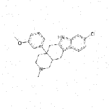 COc1cccc(C23CCN(C)CC2Cc2c([nH]c4cc(Cl)ccc24)C3)c1